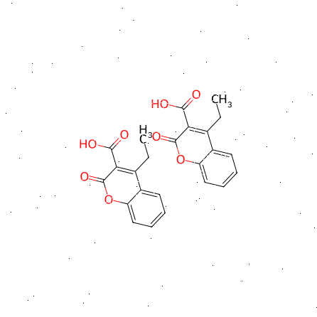 CCc1c(C(=O)O)c(=O)oc2ccccc12.CCc1c(C(=O)O)c(=O)oc2ccccc12